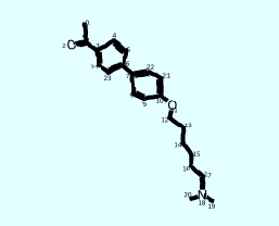 CC(=O)c1ccc(-c2ccc(OCCCCCCN(C)C)cc2)cc1